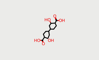 O=C(O)C1CCC(C2CCC(C(=O)O)C(O)C2)CC1O